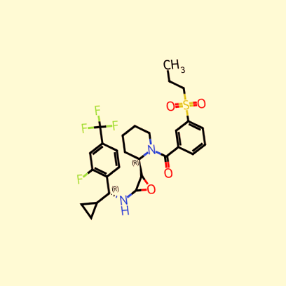 CCCS(=O)(=O)c1cccc(C(=O)N2CCCC[C@@H]2C2OC2N[C@@H](c2ccc(C(F)(F)F)cc2F)C2CC2)c1